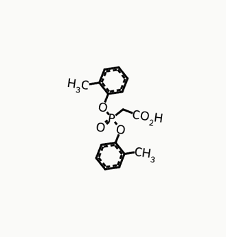 Cc1ccccc1OP(=O)(CC(=O)O)Oc1ccccc1C